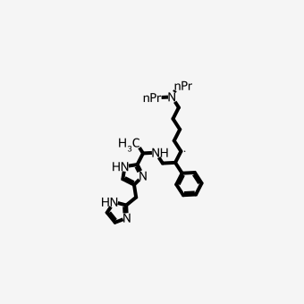 CCCN(CCC)CCCC[CH]C(CNC(C)c1nc(Cc2ncc[nH]2)c[nH]1)c1ccccc1